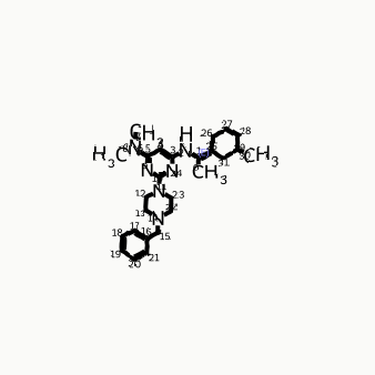 C/C(Nc1cc(N(C)C)nc(N2CCN(Cc3ccccc3)CC2)n1)=C1/CCCC(C)C1